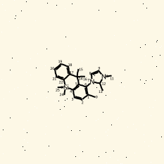 Cc1ccc2c(c1N1C=CN(C)C1C)C(C)(C)c1ccccc1[Si]2(C)C